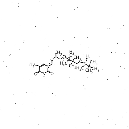 Cc1cn(COC(C)CO[Si](C)(C)C(C)(C)CO[Si](C)(C)C(C)(C)C)c(=O)[nH]c1=O